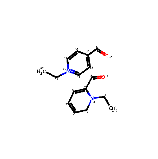 CCN1CC=CC=C1C=O.CC[n+]1ccc(C=O)cc1